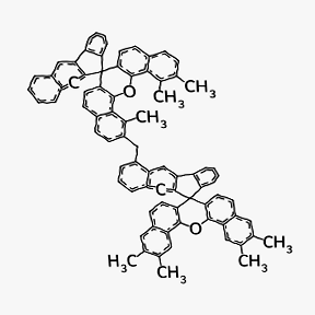 Cc1cc2ccc3c(c2cc1C)Oc1c(ccc2cc(C)c(C)cc12)C31c2ccccc2-c2cc3c(Cc4ccc5ccc6c(c5c4C)Oc4c(ccc5ccc(C)c(C)c45)C64c5ccccc5-c5cc6ccccc6cc54)cccc3cc21